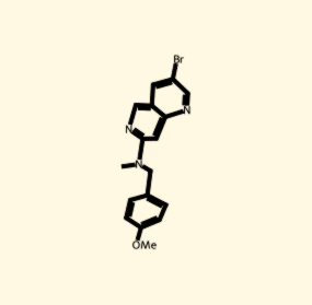 COc1ccc(CN(C)c2cc3ncc(Br)cc3cn2)cc1